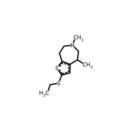 CCSc1cc2c(s1)CCN(C)CC2C